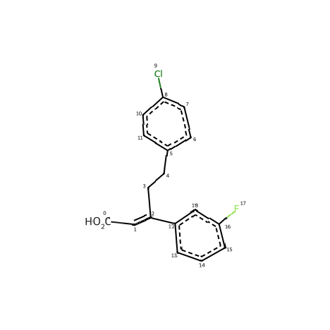 O=C(O)/C=C(\CCc1ccc(Cl)cc1)c1cccc(F)c1